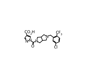 O=C(O)c1cnn(C(=O)N2CC3CN(Cc4cc(Cl)ccc4C(F)(F)F)CC3C2)c1